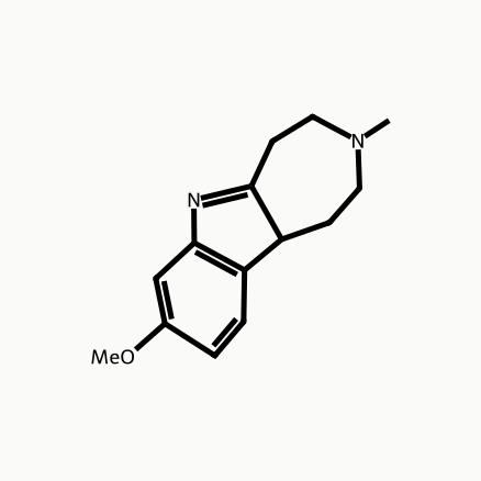 COc1ccc2c(c1)N=C1CCN(C)CCC12